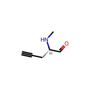 C#CC[C@@H](C=O)NC